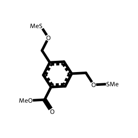 COC(=O)c1cc(COSC)cc(COSC)c1